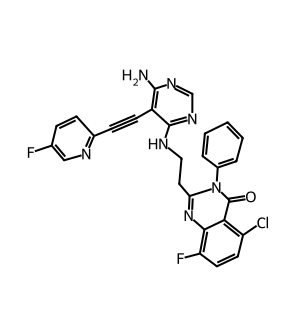 Nc1ncnc(NCCc2nc3c(F)ccc(Cl)c3c(=O)n2-c2ccccc2)c1C#Cc1ccc(F)cn1